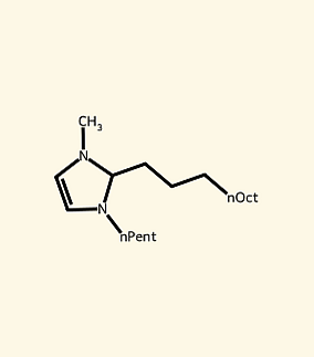 CCCCCCCCCCCC1N(C)C=CN1CCCCC